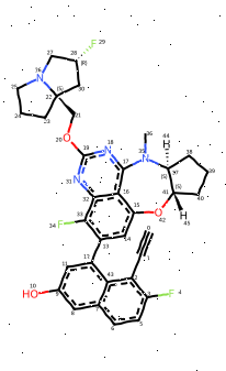 C#Cc1c(F)ccc2cc(O)cc(-c3cc4c5c(nc(OC[C@@]67CCCN6C[C@H](F)C7)nc5c3F)N(C)[C@H]3CCC[C@@H]3O4)c12